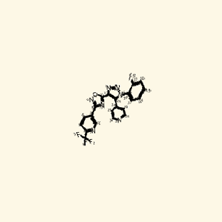 CC(F)(F)c1ccc(-c2noc(-c3nnn(-c4ccccc4F)c3-c3ccncc3)n2)cn1